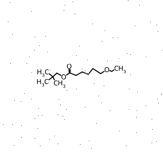 CCOCCCCCC(=O)OCC(C)(C)C